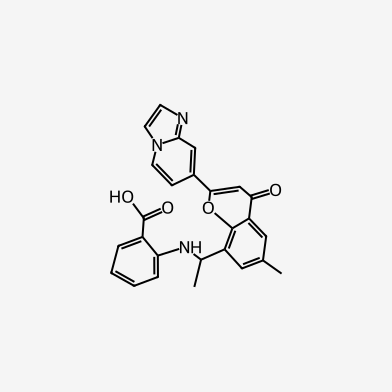 Cc1cc(C(C)Nc2ccccc2C(=O)O)c2oc(-c3ccn4ccnc4c3)cc(=O)c2c1